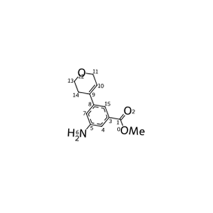 COC(=O)c1cc(N)cc(C2=CCOCC2)c1